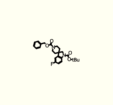 CC(C)(C)OC(=O)N1CC2(CCN(C(=O)OCc3ccccc3)CC2)c2cc(F)ccc21